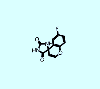 O=C1NC(=O)C2(C=COc3ccc(F)cc32)N1